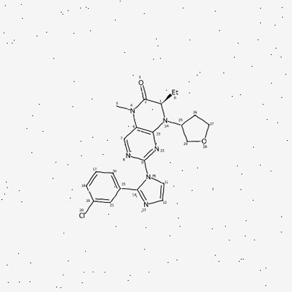 CC[C@@H]1C(=O)N(C)c2cnc(-n3ccnc3-c3cccc(Cl)c3)nc2N1C1CCOC1